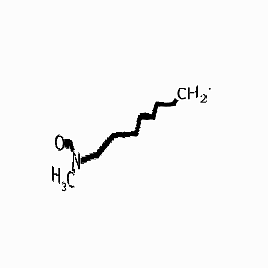 [CH2]CCC=CCCCN(C)C=O